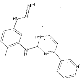 Cc1ccc(NN=N)cc1NC1N=C(c2cccnc2)C=CN1